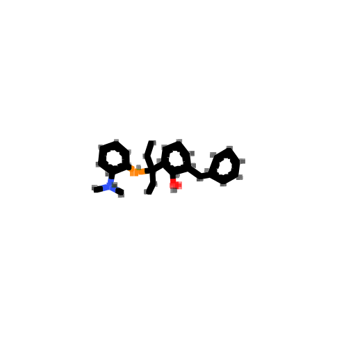 CCC(CC)(Pc1ccccc1N(C)C)c1cccc(Cc2ccccc2)c1O